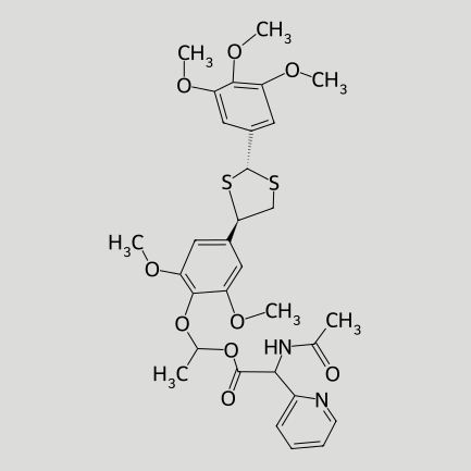 COc1cc([C@@H]2SC[C@@H](c3cc(OC)c(OC(C)OC(=O)C(NC(C)=O)c4ccccn4)c(OC)c3)S2)cc(OC)c1OC